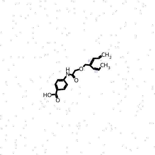 C=C/C=C(\C=C/C)COCC(=O)Nc1ccc(C(=O)O)cc1